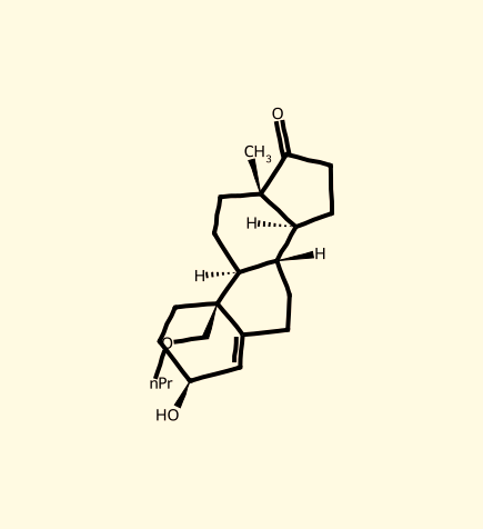 CCCOC[C@]12CC[C@H](O)C=C1CC[C@@H]1[C@@H]2CC[C@]2(C)C(=O)CC[C@@H]12